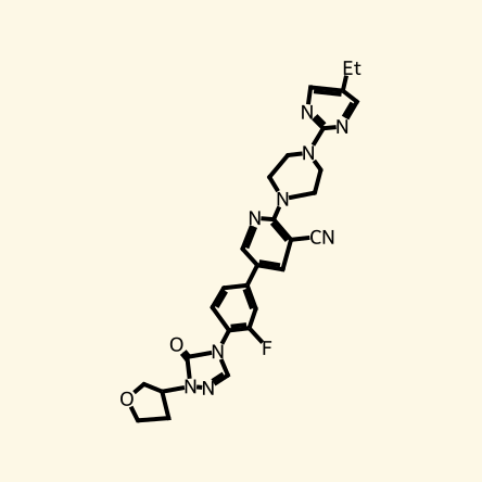 CCc1cnc(N2CCN(c3ncc(-c4ccc(-n5cnn(C6CCOC6)c5=O)c(F)c4)cc3C#N)CC2)nc1